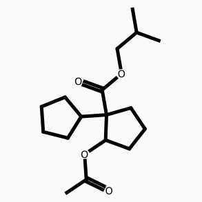 CC(=O)OC1CCCC1(C(=O)OCC(C)C)C1CCCC1